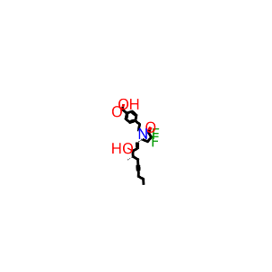 CCCC#CC[C@H](C)[C@@H](O)C=C[C@H]1CC(F)(F)C(=O)N1CCc1ccc(C(=O)O)cc1